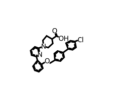 O=C(O)C1CCN(c2cccc(-c3ccccc3OCc3ccc(-c4ccc(Cl)cc4)cc3)n2)CC1